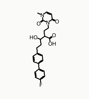 Cn1ccc(=O)n(CCC(C(=O)O)C(O)CCc2ccc(-c3ccc(F)cc3)cc2)c1=O